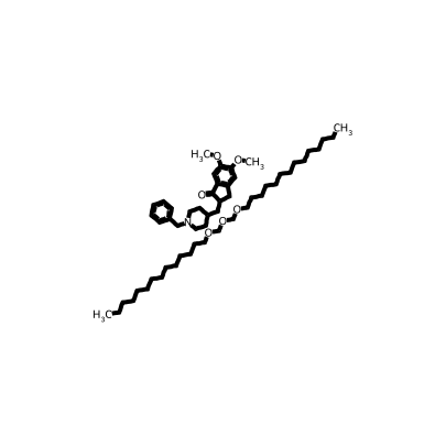 CCCCCCCCCCCCCCOCOCOCCCCCCCCCCCCCC.COc1cc2c(cc1OC)C(=O)C(CC1CCN(Cc3ccccc3)CC1)C2